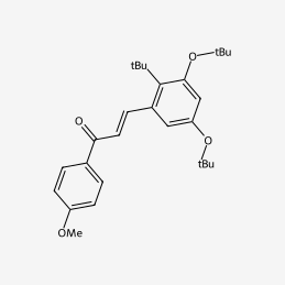 COc1ccc(C(=O)C=Cc2cc(OC(C)(C)C)cc(OC(C)(C)C)c2C(C)(C)C)cc1